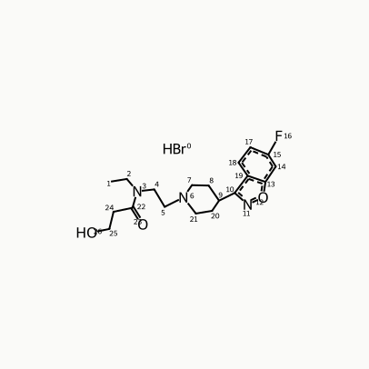 Br.CCN(CCN1CCC(c2noc3cc(F)ccc23)CC1)C(=O)CCO